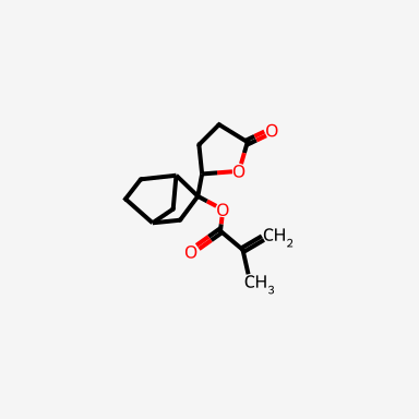 C=C(C)C(=O)OC1(C2CCC(=O)O2)CC2CCC1C2